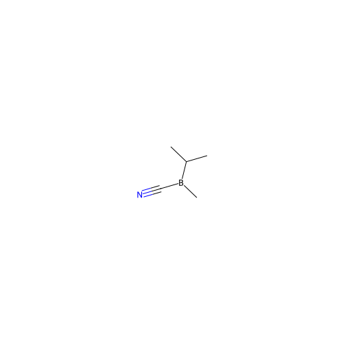 CB(C#N)C(C)C